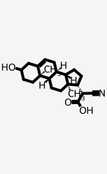 C[C@]12CC[C@H]3[C@@H](CC=C4CC(O)CC[C@@]43C)[C@@H]1CC[C@@H]2C(C#N)C(=O)O